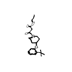 CCOC(=O)CC(=O)N1CCC(Oc2ccccc2C(C)(C)C)CC1